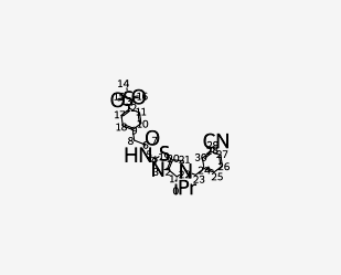 CC(C)[C@@H]1c2nc(NC(=O)Cc3ccc(S(C)(=O)=O)cc3)sc2CN1Cc1cccc(C#N)c1